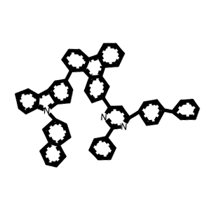 c1ccc(-c2ccc(-c3cc(-c4ccc5c(c4)c4ccccc4c4cccc(-c6ccc7c(c6)c6ccccc6n7-c6ccc7ccccc7c6)c45)nc(-c4ccccc4)n3)cc2)cc1